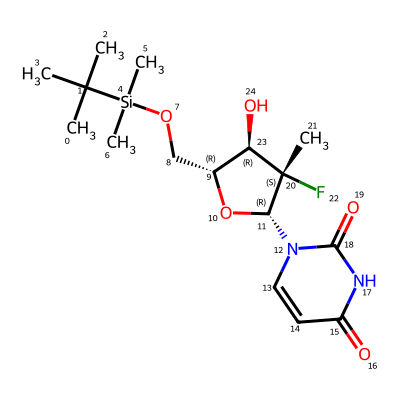 CC(C)(C)[Si](C)(C)OC[C@H]1O[C@@H](n2ccc(=O)[nH]c2=O)[C@@](C)(F)[C@@H]1O